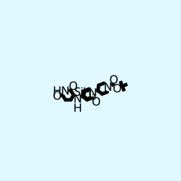 CC(C)(C)OC(=O)N1CCC(n2ccc(N[C@]3([SiH3])CCC(=O)NC3=O)cc2=O)CC1